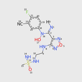 [H]/N=C(/c1nonc1NCCNS(C)(=N)=O)N(O)c1ccc(F)c(C#N)c1